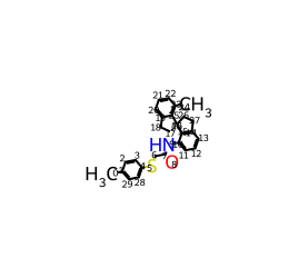 Cc1ccc(SCC(=O)Nc2cccc3c2[C@]2(CCc4cccc(C)c42)CC3)cc1